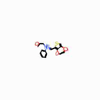 C(=NN(CC1CO1)c1ccccc1)c1scc2c1OCCO2